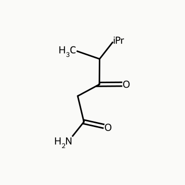 CC(C)C(C)C(=O)CC(N)=O